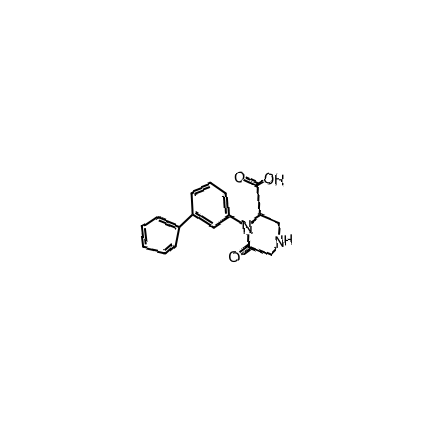 O=C(O)C1CNCC(=O)N1c1cccc(-c2ccccc2)c1